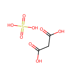 O=C(O)CC(=O)O.O=S(=O)(O)O